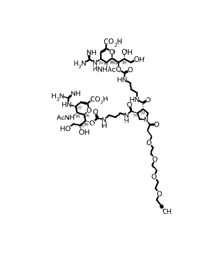 C#CCOCCOCCOCCOCCC(=O)N1C[C@@H](C(=O)NCCCNC(=O)O[C@@H]([C@@H]2OC(C(=O)O)=C[C@H](NC(=N)N)[C@H]2NC(C)=O)[C@H](O)CO)[C@H](C(=O)NCCCNC(=O)O[C@@H]([C@@H]2OC(C(=O)O)=C[C@H](NC(=N)N)[C@H]2NC(C)=O)[C@H](O)CO)C1